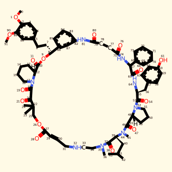 COc1ccc(CC[C@H]2OC(=O)[C@@H]3CCCCN3C(=O)C(=O)C(C)(C)COC(=O)/C=C/CNCCN(C)C(=O)[C@H](CC(C)C)N(C)C(=O)[C@H]3CCCN3C(=O)[C@H](Cc3ccc(O)cc3)NC(=O)C(c3ccccc3)NC(=O)CCC(=O)Nc3cccc2c3)cc1OC